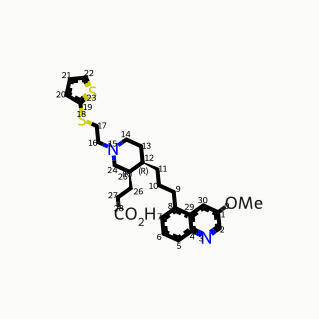 COc1cnc2cccc(CCC[C@@H]3CCN(CCSc4cccs4)C[C@@H]3CCC(=O)O)c2c1